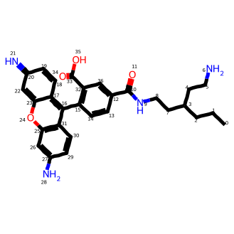 CCCC(CCN)CCNC(=O)c1ccc(-c2c3ccc(=N)cc-3oc3cc(N)ccc23)c(C(=O)O)c1